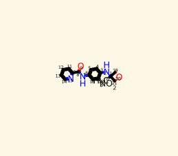 CC1(Nc2ccc(NC(=O)c3ccccn3)cc2[N+](=O)[O-])COC1